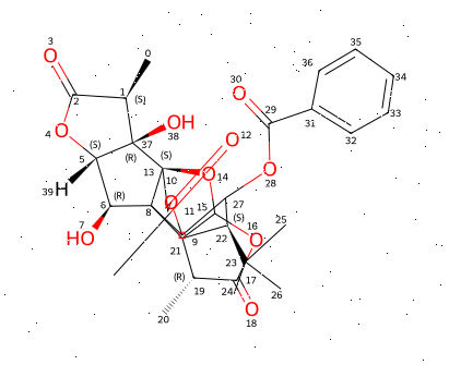 C[C@@H]1C(=O)O[C@H]2[C@H](O)C34C5OC(=O)[C@@]3(OC3OC(=O)[C@H](C)C34[C@H](C(C)(C)C)C5OC(=O)c3ccccc3)[C@@]12O